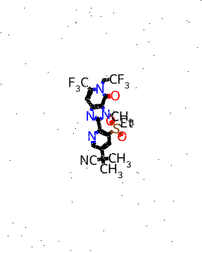 CCS(=O)(=O)c1cc(C(C)(C)C#N)cnc1-c1nc2cc(C(F)(F)F)n(CC(F)(F)F)c(=O)c2n1C